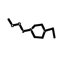 CCN1CCN(SOOC)CC1